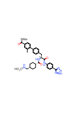 CNC(=O)c1ccc(-c2ccc(C[C@H](NC(=O)[C@H]3CC[C@H](CNC(=O)O)CC3)C(=O)Nc3ccc(-c4nn[nH]n4)cc3)cc2)c(C)c1